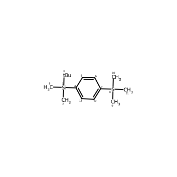 CC(C)(C)[Si](C)(C)c1ccc(S(C)(C)C)cc1